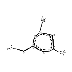 [C-]#[N+]c1cc(C#N)cc(COC(C)=O)c1